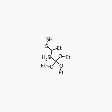 CCOC(OCC)(OCC)[SiH2]C(CC)SS